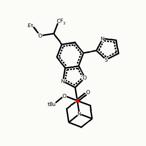 CCOC(c1cc(-c2nccs2)c2oc(N3CC4CC(C3)N4C(=O)OC(C)(C)C)nc2c1)C(F)(F)F